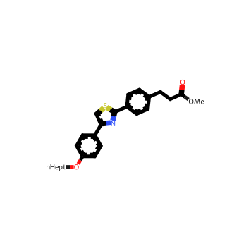 CCCCCCCOc1ccc(-c2csc(-c3ccc(CCC(=O)OC)cc3)n2)cc1